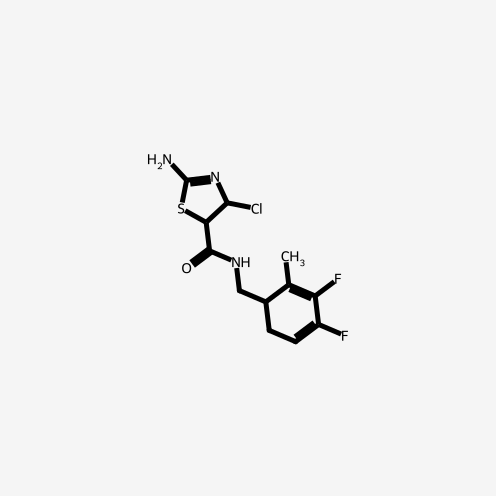 CC1=C(F)C(F)=CCC1CNC(=O)C1SC(N)=NC1Cl